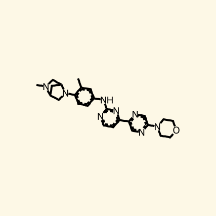 Cc1cc(Nc2nccc(-c3cnc(N4CCOCC4)cn3)n2)ccc1N1CC2CC1CN2C